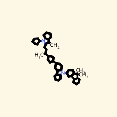 C=c1/c(=C\C=C(/C)c2ccc(-c3ccc4c(c3)c3ccccc3n4-c3ccc4c(c3)-c3ccccc3C4(C)C)cc2)n(-c2ccccc2)c2ccccc12